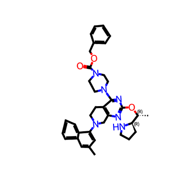 Cc1cc(N2CCc3c(nc(O[C@H](C)[C@H]4CCCN4)nc3N3CCN(C(=O)OCc4ccccc4)CC3)C2)c2ccccc2c1